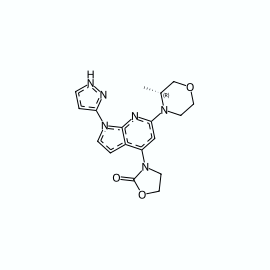 C[C@@H]1COCCN1c1cc(N2CCOC2=O)c2ccn(-c3cc[nH]n3)c2n1